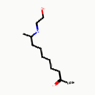 COC(=O)CCCCCCC(C)NCCO